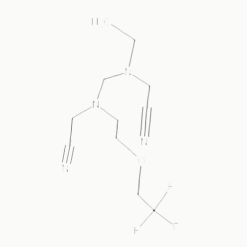 CCN(CC#N)CN(CC#N)CCOCC(F)(F)F